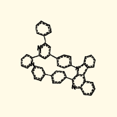 c1ccc(-c2ccc(-c3nc4ccccc4c4c5ccccc5n(-c5ccc(-c6cc(-c7ccccc7)nc(-c7ccccn7)c6)cc5)c34)cc2)cc1